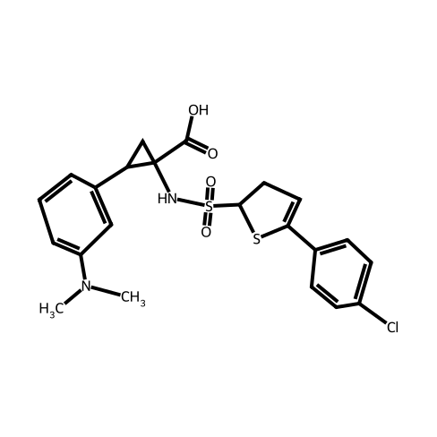 CN(C)c1cccc(C2CC2(NS(=O)(=O)C2CC=C(c3ccc(Cl)cc3)S2)C(=O)O)c1